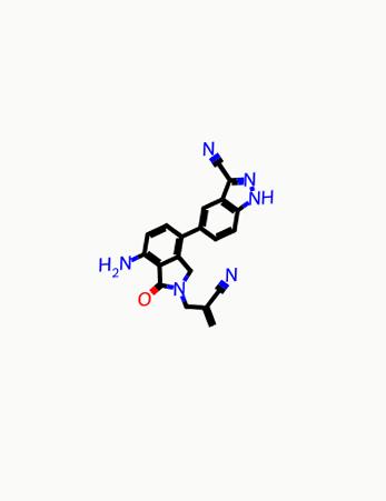 C=C(C#N)CN1Cc2c(-c3ccc4[nH]nc(C#N)c4c3)ccc(N)c2C1=O